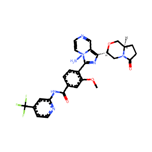 COc1cc(C(=O)Nc2cc(C(F)(F)F)ccn2)ccc1C1=NC([C@H]2CN3C(=O)CC[C@@H]3CO2)=C2C=NC=C[N+]12N